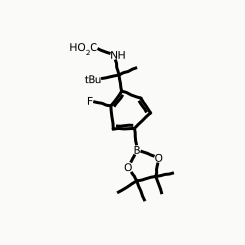 CC(C)(C)C(C)(NC(=O)O)c1ccc(B2OC(C)(C)C(C)(C)O2)cc1F